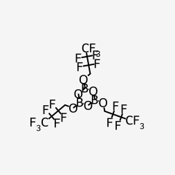 FC(F)(F)C(F)(F)C(F)(F)COB1OB(OCC(F)(F)C(F)(F)C(F)(F)F)OB(OCC(F)(F)C(F)(F)C(F)(F)F)O1